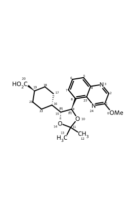 COc1cnc2cccc([C@H]3OC(C)(C)O[C@@H]3[C@H]3CC[C@H](C(=O)O)CC3)c2n1